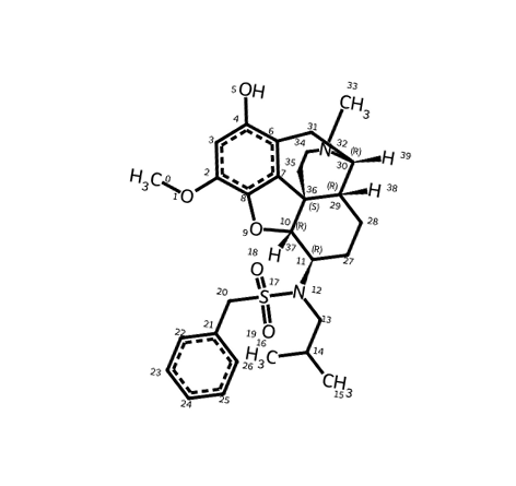 COc1cc(O)c2c3c1O[C@H]1[C@H](N(CC(C)C)S(=O)(=O)Cc4ccccc4)CC[C@H]4[C@@H](C2)N(C)CC[C@@]341